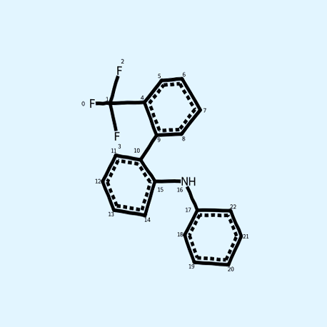 FC(F)(F)c1ccccc1-c1ccccc1Nc1ccccc1